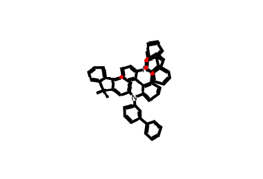 CC1(C)c2ccccc2-c2ccc(N(c3cccc(-c4ccccc4)c3)c3cccc(-c4ccccc4)c3-c3ccccc3-n3c4ccccc4c4ccccc43)cc21